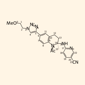 COCCn1cc(-c2ccc3c(c2)CC[C@@](C)(Nc2ccc(C#N)cn2)N3C(C)=O)nn1